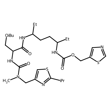 CCC(CCC(CC)NC(=O)C(COCC(C)C)NC(=O)N(C)Cc1csc(C(C)C)n1)NC(=O)OCc1cncs1